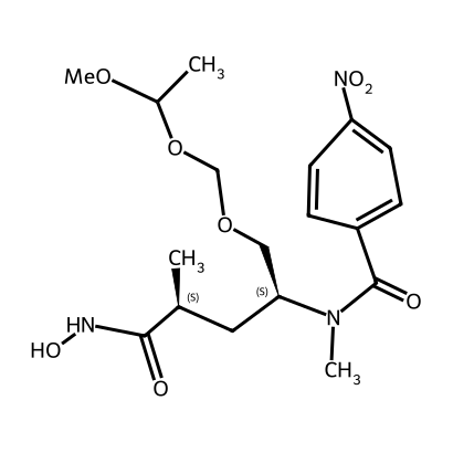 COC(C)OCOC[C@H](C[C@H](C)C(=O)NO)N(C)C(=O)c1ccc([N+](=O)[O-])cc1